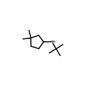 CC1(C)CCC(NC(C)(C)C)C1